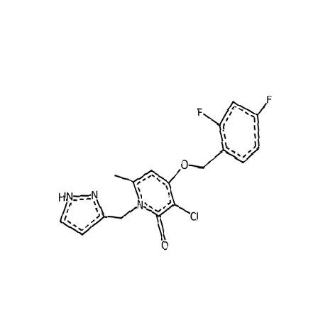 Cc1cc(OCc2ccc(F)cc2F)c(Cl)c(=O)n1Cc1cc[nH]n1